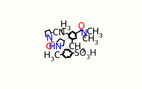 Cc1cc(C(=O)N(C)C)cc(C)c1[C@@H]1CN[C@H](C(=O)N2CCC[C@H]2C#N)C1.Cc1ccc(S(=O)(=O)O)cc1